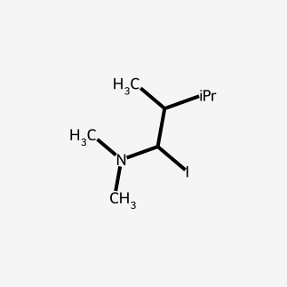 CC(C)C(C)C(I)N(C)C